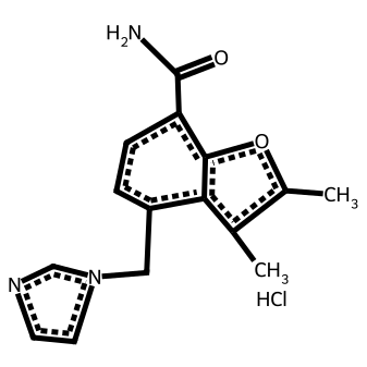 Cc1oc2c(C(N)=O)ccc(Cn3ccnc3)c2c1C.Cl